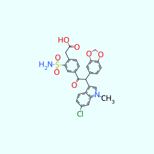 Cn1cc(C(C(=O)c2ccc(CC(=O)O)c(S(N)(=O)=O)c2)c2ccc3c(c2)OCO3)c2ccc(Cl)cc21